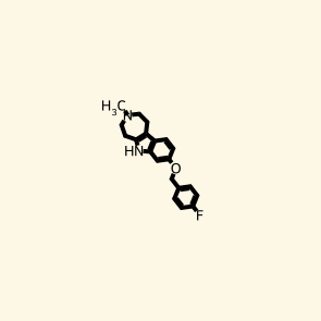 CN1CCc2[nH]c3cc(OCc4ccc(F)cc4)ccc3c2CC1